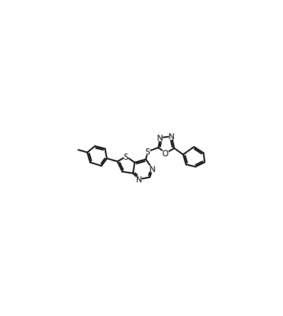 Cc1ccc(-c2cc3ncnc(Sc4nnc(-c5ccccc5)o4)c3s2)cc1